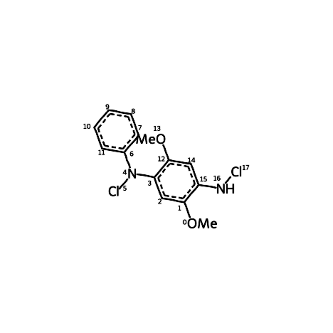 COc1cc(N(Cl)c2ccccc2)c(OC)cc1NCl